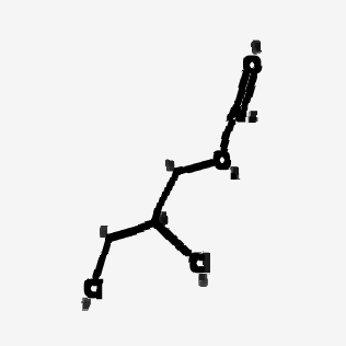 [O]=[Al][O]CC(Cl)CCl